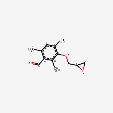 Cc1cc(C)c(OCC2CO2)c(C)c1C=O